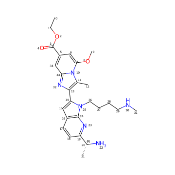 CCOC(=O)c1cc(OC)n2c(C)c(-c3cc4ccc([C@@H](C)N)nc4n3CCCCNC)nc2c1